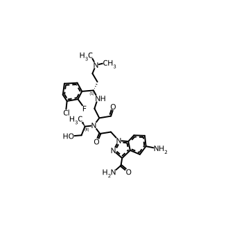 C[C@H](CO)N(C(=O)Cn1nc(C(N)=O)c2cc(N)ccc21)C(C=O)CN[C@@H](CCN(C)C)c1cccc(Cl)c1F